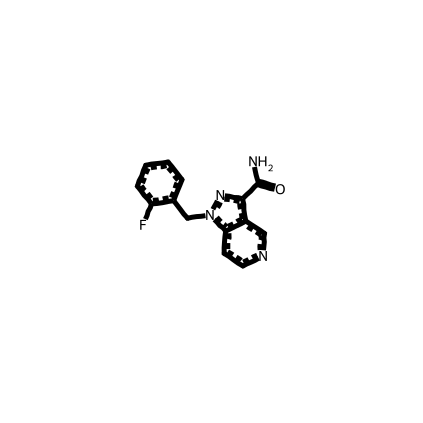 NC(=O)c1nn(Cc2ccccc2F)c2ccncc12